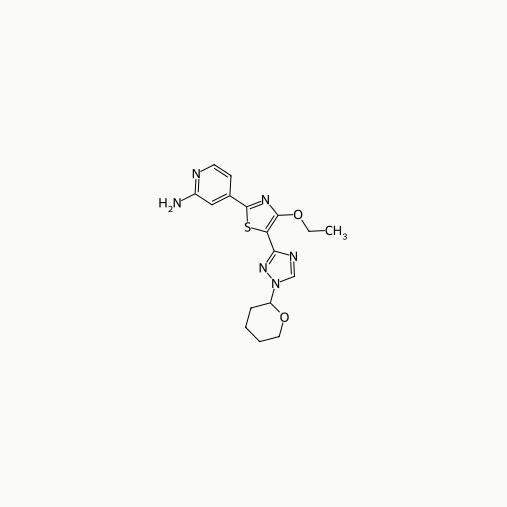 CCOc1nc(-c2ccnc(N)c2)sc1-c1ncn(C2CCCCO2)n1